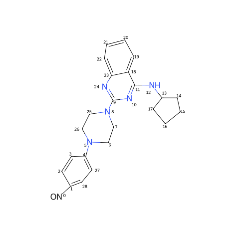 O=Nc1ccc(N2CCN(c3nc(NC4CCCC4)c4ccccc4n3)CC2)cc1